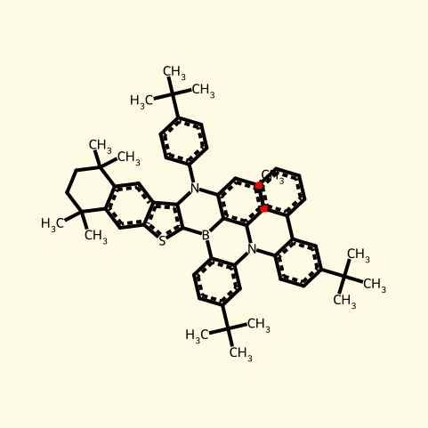 Cc1cc2c3c(c1)N(c1ccc(C(C)(C)C)cc1)c1c(sc4cc5c(cc14)C(C)(C)CCC5(C)C)B3c1ccc(C(C)(C)C)cc1N2c1ccc(C(C)(C)C)cc1-c1ccccc1